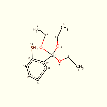 CCO[Si](OCC)(OCC)c1ccccc1S